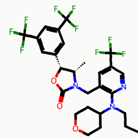 CCCN(c1ncc(C(F)(F)F)cc1CN1C(=O)O[C@H](c2cc(C(F)(F)F)cc(C(F)(F)F)c2)[C@@H]1C)C1CCOCC1